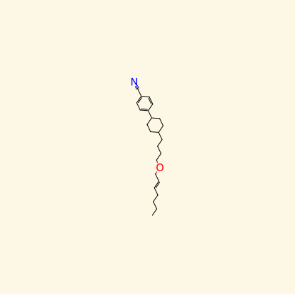 CCCC/C=C/COCCCCC1CCC(c2ccc(C#N)cc2)CC1